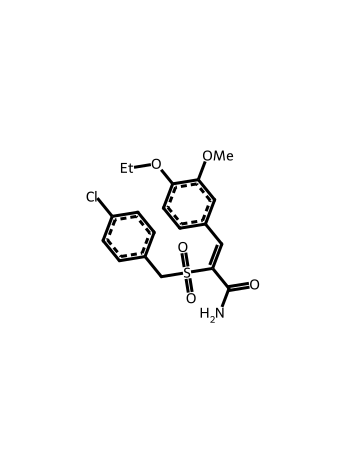 CCOc1ccc(C=C(C(N)=O)S(=O)(=O)Cc2ccc(Cl)cc2)cc1OC